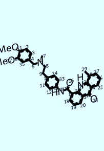 COc1ccc(CN(C)CCc2ccc(NC(=O)c3cccc4c(=O)c5cccc(C)c5[nH]c34)cc2)cc1OC